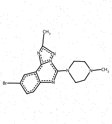 Cc1nc2c3cc(Br)ccc3nc(N3CCN(C)CC3)n2n1